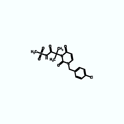 CC(C)(C(=O)NS(C)(=O)=O)n1c(=O)ccn(Cc2ccc(Cl)cc2)c1=O